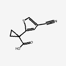 N#Cc1csc(C2(C(=O)O)CC2)c1